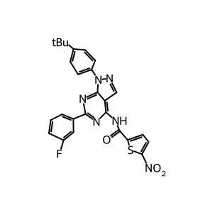 CC(C)(C)c1ccc(-n2ncc3c(NC(=O)c4ccc([N+](=O)[O-])s4)nc(-c4cccc(F)c4)nc32)cc1